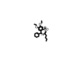 CCCCC1=CS(=O)(=O)c2cc(OCC)c(OCC)cc2C(C2=CCCCC2)=N1